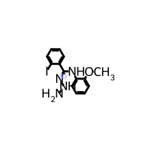 COc1ccccc1N/C(=N\NN)c1ccccc1I